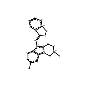 Cc1ccc2c(c1)c1c(n2/C=C2\CCc3ccccc32)CCN(C)C1